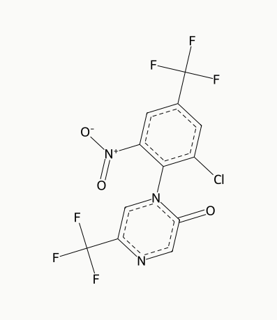 O=c1cnc(C(F)(F)F)cn1-c1c(Cl)cc(C(F)(F)F)cc1[N+](=O)[O-]